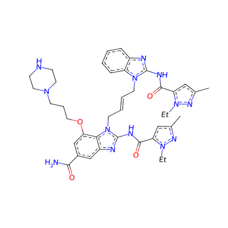 CCn1nc(C)cc1C(=O)Nc1nc2ccccc2n1C/C=C/Cn1c(NC(=O)c2cc(C)nn2CC)nc2cc(C(N)=O)cc(OCCCN3CCNCC3)c21